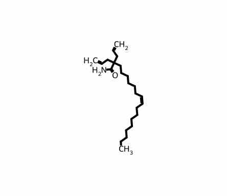 C=CCC(CC=C)(CCCCCC/C=C\CCCCCCCC)C(N)=O